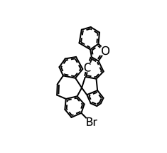 Brc1ccc2c(c1)C1(c3ccccc3C=C2)c2ccccc2-c2cc3oc4ccccc4c3cc21